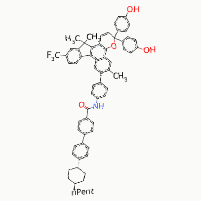 CCCCC[C@H]1CC[C@H](c2ccc(-c3ccc(C(=O)Nc4ccc(-c5cc6c7c(c8c(c6cc5C)OC(c5ccc(O)cc5)(c5ccc(O)cc5)C=C8)C(C)(C)c5cc(C(F)(F)F)ccc5-7)cc4)cc3)cc2)CC1